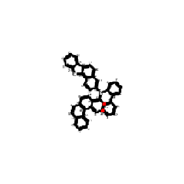 c1ccc(-c2ccccc2N(c2ccc3c(ccc4c5ccccc5oc34)c2)c2cccc3c2ccc2ccc4ccccc4c23)cc1